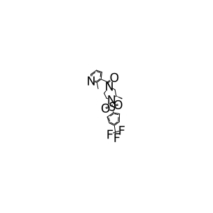 Cc1ncccc1C(=O)N1CCN(S(=O)(=O)c2ccc(C(F)(F)F)cc2)[C@H](C)C1